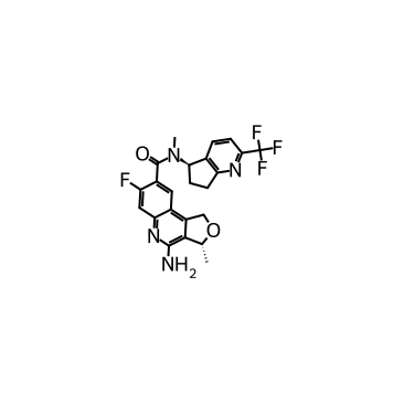 C[C@H]1OCc2c1c(N)nc1cc(F)c(C(=O)N(C)[C@@H]3CCc4nc(C(F)(F)F)ccc43)cc21